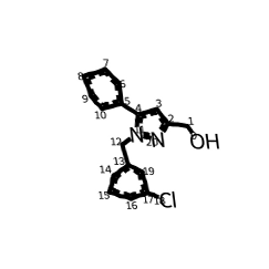 OCc1cc(-c2ccccc2)n(Cc2cccc(Cl)c2)n1